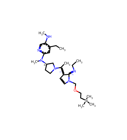 CC/N=C1\C(=C(/C)N2CC[C@@H](N(C)c3cc(CC)c(NC)cn3)C2)C=CN1COCC[Si](C)(C)C